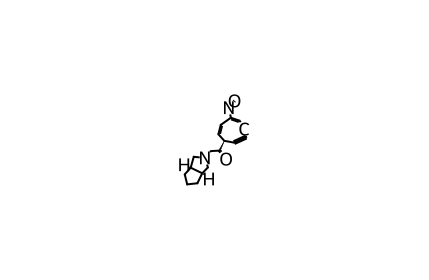 O=NC1=C/CC#C[C@@H](C(=O)CN2C[C@H]3CCC[C@H]3C2)/C=C\1